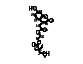 CPCC(C)(C)C(=O)OCCOC(=O)Cc1cc(=O)oc2cc(O)ccc12